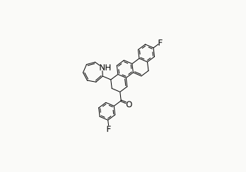 O=C(c1cccc(F)c1)C1C=c2c(ccc3c2=CCc2cc(F)ccc2-3)C(C2=CC=CC=CN2)C1